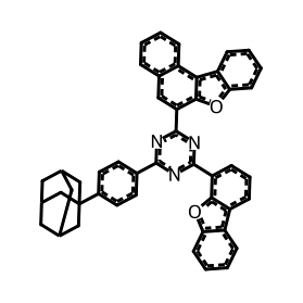 c1ccc2c(c1)cc(-c1nc(-c3ccc(C45CC6CC(CC(C6)C4)C5)cc3)nc(-c3cccc4c3oc3ccccc34)n1)c1oc3ccccc3c12